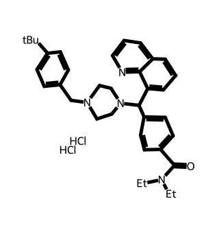 CCN(CC)C(=O)c1ccc(C(c2cccc3cccnc23)N2CCN(Cc3ccc(C(C)(C)C)cc3)CC2)cc1.Cl.Cl